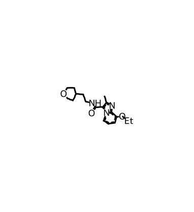 CCOc1cccn2c(C(=O)NCCC3CCOCC3)c(C)nc12